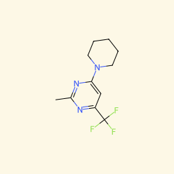 Cc1nc(N2CCCCC2)cc(C(F)(F)F)n1